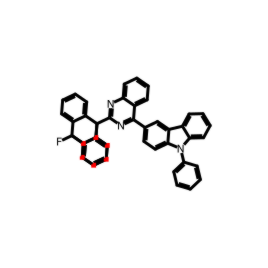 FC12c3ccccc3C(c3nc(-c4ccc5c(c4)c4ccccc4n5-c4ccccc4)c4ccccc4n3)(c3ccccc31)c1ccccc12